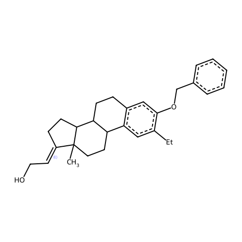 CCc1cc2c(cc1OCc1ccccc1)CCC1C2CCC2(C)/C(=C/CO)CCC12